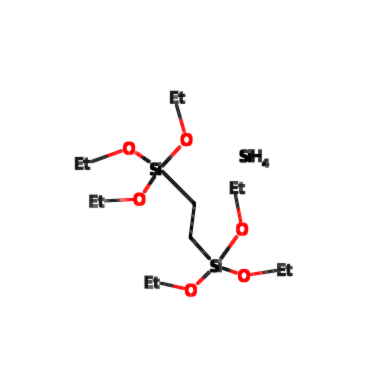 CCO[Si](CC[Si](OCC)(OCC)OCC)(OCC)OCC.[SiH4]